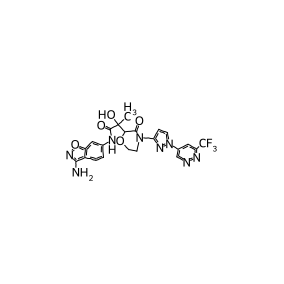 CC(O)(C(=O)Nc1ccc2c(N)noc2c1)C1OCCN(c2ccn(-c3cnnc(C(F)(F)F)c3)n2)C1=O